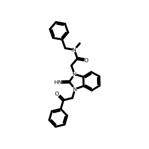 CN(Cc1ccccc1)C(=O)Cn1c(=N)n(CC(=O)c2ccccc2)c2ccccc21